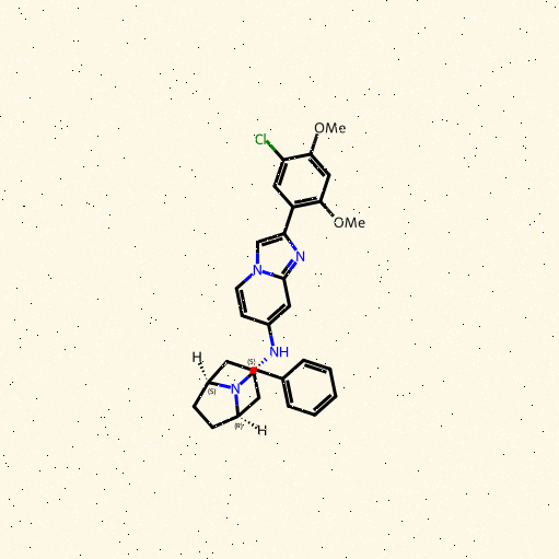 COc1cc(OC)c(-c2cn3ccc(N[C@@H]4C[C@H]5CC[C@@H](C4)N5Cc4ccccc4)cc3n2)cc1Cl